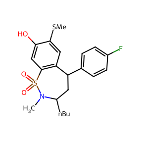 CCCCC1CC(c2ccc(F)cc2)c2cc(SC)c(O)cc2S(=O)(=O)N1C